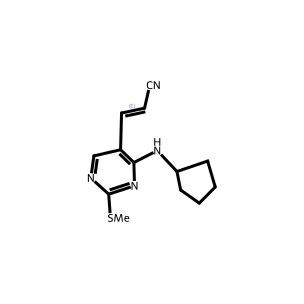 CSc1ncc(/C=C/C#N)c(NC2CCCC2)n1